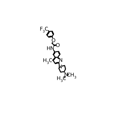 Cc1cc(N2CCC(N(C)C)CC2)nc2ccc(NC(=O)COc3ccc(C(F)(F)F)cc3)cc12